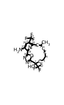 CC1CCCCCC(O)(C(F)(F)F)c2nnc(o2)-c2nc(c(C(F)(F)F)cc2N)C1